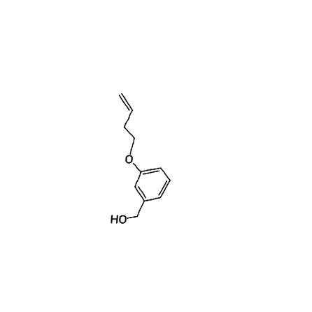 C=CCCOc1cccc(CO)c1